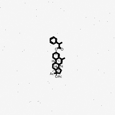 CC(=O)O[C@]1(C(C)=O)CC[C@H]2[C@@H]3C=C(C)C4=C[C@@H](OC(=O)C(C)c5ccccc5)CC[C@]4(C)[C@H]3CC[C@@]21C